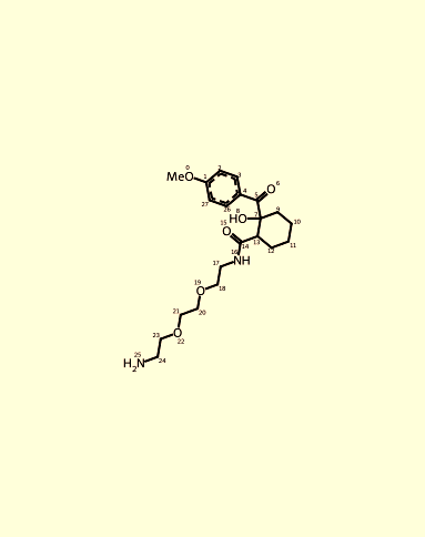 COc1ccc(C(=O)C2(O)CCCCC2C(=O)NCCOCCOCCN)cc1